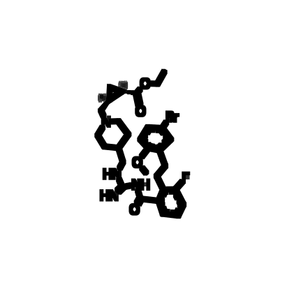 CCOC(=O)[C@H]1C[C@@H]1CN1CCC(CNC(=N)NC(=O)c2cccc(F)c2CCc2cc(Br)ccc2OC)CC1